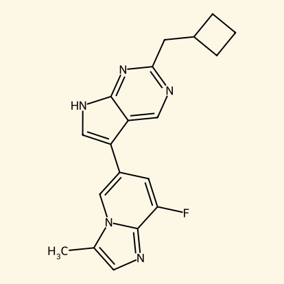 Cc1cnc2c(F)cc(-c3c[nH]c4nc(CC5CCC5)ncc34)cn12